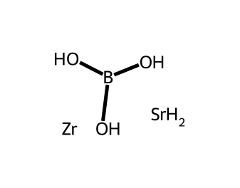 OB(O)O.[SrH2].[Zr]